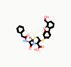 O=C(Cc1ccccc1)N[C@@H]1C(=O)N2C(C(=O)O)=C(Sc3ccc4c(c3)oc3c(CO)cccc34)CS[C@H]12